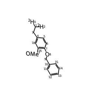 [2H]C([2H])Cc1ccc(OCc2ccccc2)c(OC)c1